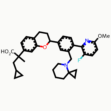 COc1ccc(F)c(-c2ccc(C3CCc4ccc(C(C)(CC5CC5)C(=O)O)cc4O3)cc2CN2CCCCC23CC3)n1